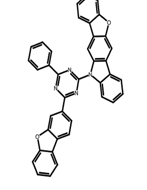 c1ccc(-c2nc(-c3ccc4c(c3)oc3ccccc34)nc(-n3c4ccccc4c4cc5oc6ccccc6c5cc43)n2)cc1